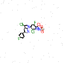 CS(=O)(=O)NC(=O)c1cc(Cl)c(-n2cc(Cl)c3cc(-c4ccc(F)cc4)cnc32)cc1F